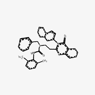 Cc1cccc(C)c1NC(=O)N(CCc1nc2ccccc2c(=O)n1-c1ccc2ccccc2c1)Cc1ccccc1